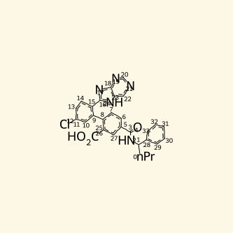 CCCC(NC(=O)c1ccc(-c2cc(Cl)ccc2-c2nc3ncncc3[nH]2)c(C(=O)O)c1)c1ccccc1